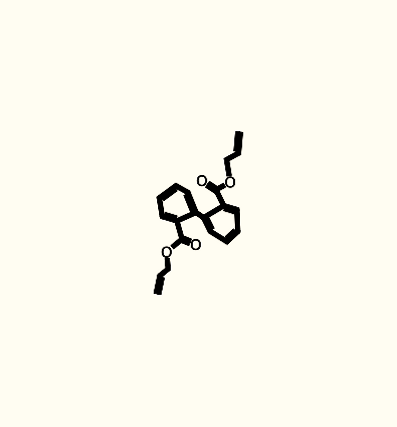 C=CCOC(=O)c1ccccc1-c1ccccc1C(=O)OCC=C